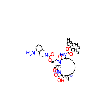 CC(C)(C)OC(=O)N[C@H]1CCCCC/C=C\[C@@H]2C[C@@]2(C(=O)O)NC(=O)[C@@H]2C[C@@H](OC(=O)N3CCc4c(N)cccc4C3)CN2C1=O